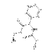 CCC(C)CCC(=O)C(NC(=O)CCl)c1ccccc1